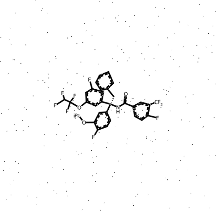 CC(C)Oc1cc([C@](Cc2ccccc2)(NC(=O)c2ccc(F)c(C(F)(F)F)c2)c2cc(F)cc(OC(F)(F)C(F)F)c2)ccc1F